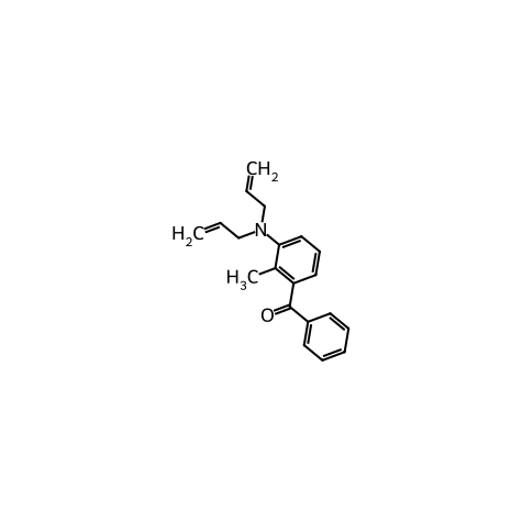 C=CCN(CC=C)c1cccc(C(=O)c2ccccc2)c1C